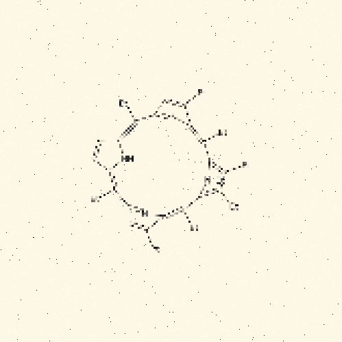 CCC1=Cc2nc1c(CC)c1c(CC)c(CC)c(c(CC)c3nc(c(CC)c4ccc([nH]4)c2CC)C=[C]3[Pt])n1CC